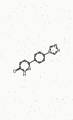 O=c1ccc(-c2ccc(-n3cnnc3)cc2)n[nH]1